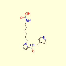 O=C(O)NCCCCCCn1cccc1C(=O)NCc1ccncc1